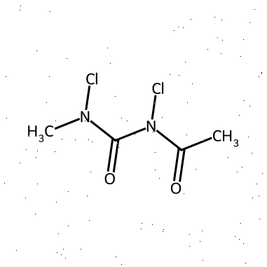 CC(=O)N(Cl)C(=O)N(C)Cl